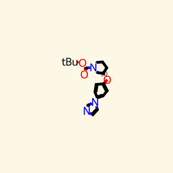 CC(C)(C)OC(=O)N1CCC[C@@H](Oc2ccc(-n3ccnc3)cc2)C1